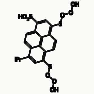 CC(C)c1cc(SOOO)c2ccc3c(SOOO)cc(S(=O)(=O)O)c4ccc1c2c34